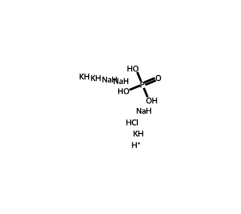 Cl.O=P(O)(O)O.[H+].[KH].[KH].[KH].[NaH].[NaH].[NaH]